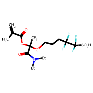 C=C(C)C(=O)OC(OCCCC(F)(F)C(F)(F)S(=O)(=O)O)(C(=O)N(CC)CC)C(F)(F)F